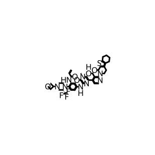 C=CC(=O)Nc1cc(Nc2nc(-c3ccnc(N4CCc5c(sc6c5CCCC6)C4=O)c3CO)cn(C)c2=O)ccc1N1CCN(C2COC2)C[C@H]1C(F)(F)F